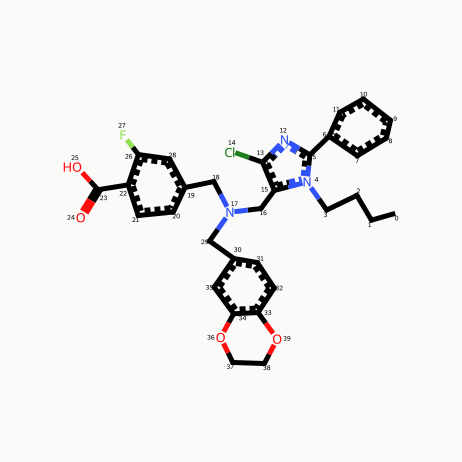 CCCCn1c(-c2ccccc2)nc(Cl)c1CN(Cc1ccc(C(=O)O)c(F)c1)Cc1ccc2c(c1)OCCO2